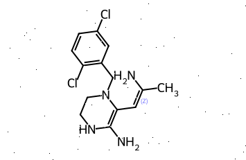 C/C(N)=C/C1=C(N)NCCN1Cc1cc(Cl)ccc1Cl